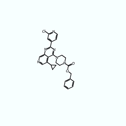 O=C(OCc1ccccc1)N1CCN(c2nc(-c3ccnc(Cl)c3)nc3cncc(C4CC4)c23)CC1